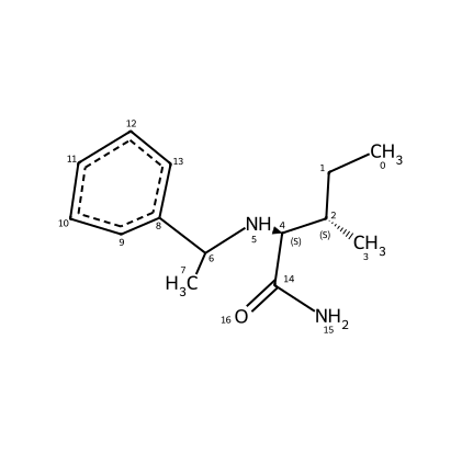 CC[C@H](C)[C@H](NC(C)c1ccccc1)C(N)=O